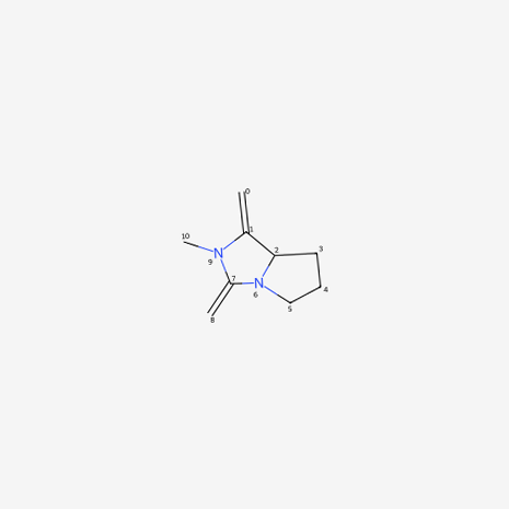 C=C1C2CCCN2C(=C)N1C